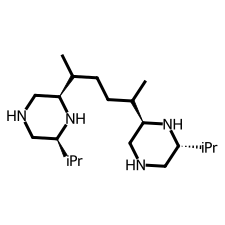 CC(C)[C@@H]1CNC[C@@H](C(C)CCC(C)[C@@H]2CNC[C@H](C(C)C)N2)N1